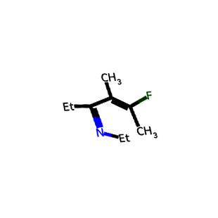 CC/N=C(CC)\C(C)=C(/C)F